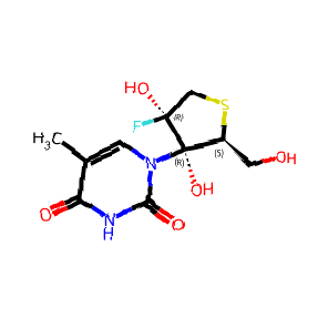 Cc1cn([C@]2(O)[C@H](CO)SC[C@]2(O)F)c(=O)[nH]c1=O